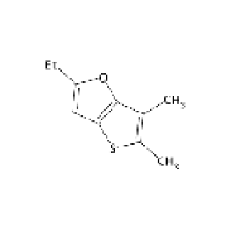 CCc1cc2sc(C)c(C)c2o1